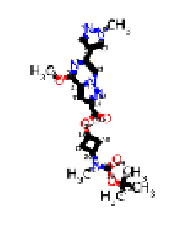 COc1nc(-c2cnn(C)c2)cn2nc(C(=O)OC3CC(N(C)C(=O)OC(C)(C)C)C3)cc12